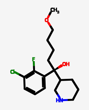 COCCCC[C@@](O)(c1cccc(Cl)c1F)C1CCCNC1